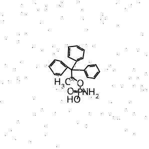 C[C@H](OP(N)(=O)O)C(c1ccccc1)(c1ccccc1)c1ccccc1